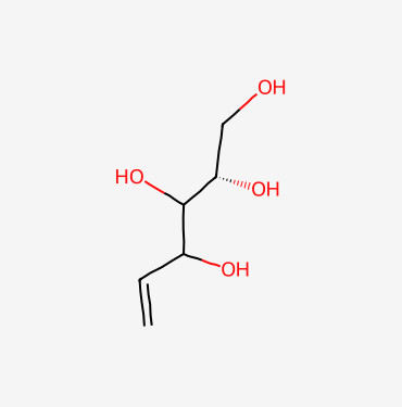 C=CC(O)C(O)[C@@H](O)CO